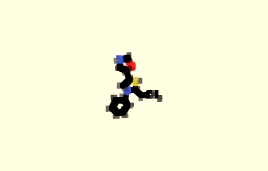 CCC1SC(c2cnco2)=[C]N1c1ccccc1